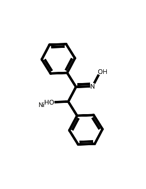 O/N=C(\c1ccccc1)C(O)c1ccccc1.[Ni]